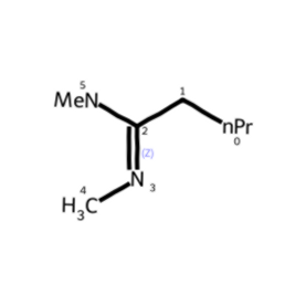 CCCC/C(=N/C)NC